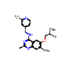 COc1cc2nc(C)nc(NCc3ccnc(C(F)(F)F)c3)c2cc1OCC(OC)C(C)C